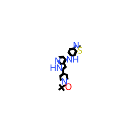 CC(C)(C)C(=O)N1CC=C(c2cc3c(Nc4ccc5ncsc5c4)ccnc3[nH]2)CC1